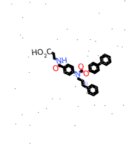 O=C(O)CCNC(=O)c1ccc(N(C/C=C/c2ccccc2)C(=O)Oc2ccc(-c3ccccc3)cc2)cc1